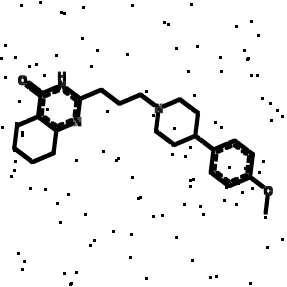 COc1ccc(C2CCN(CCCc3nc4c(c(=O)[nH]3)CCCC4)CC2)cc1